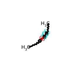 CCCCCCCCCCC1CCC(C(=O)Oc2c(F)c(F)c(-c3c(F)c(F)c(CCCCCCCC)c(F)c3F)c(F)c2F)CC1